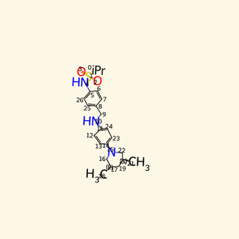 CC(C)S(=O)(=O)Nc1ccc(CNc2ccc(N3C[C@H](C)C[C@H](C)C3)cc2)cc1